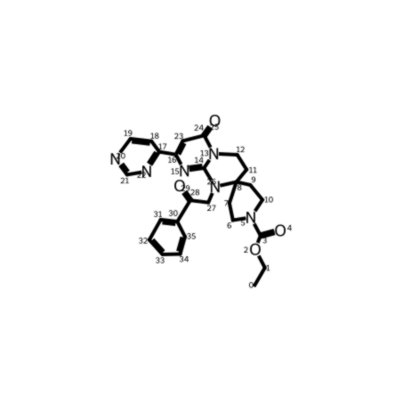 CCOC(=O)N1CCC2(CC1)CCn1c(nc(-c3ccncn3)cc1=O)N2CC(=O)c1ccccc1